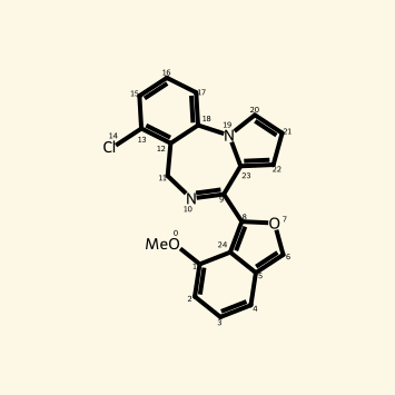 COc1cccc2coc(C3=NCc4c(Cl)cccc4-n4cccc43)c12